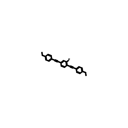 CCc1ccc(C#Cc2ccc(C#Cc3ccc(CC)cc3)c(F)c2)cc1